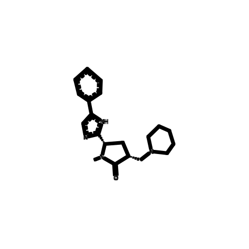 CN1C(=O)[C@@H](CN2CCCCC2)C[C@H]1c1ncc(-c2ccccc2)[nH]1